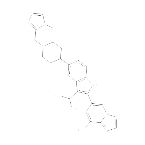 Cc1cc(-c2[nH]c3ccc(C4CCN(Cc5nncn5C)CC4)cc3c2C(C)C)cn2ncnc12